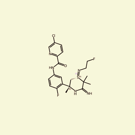 CC1(C)C(=N)N[C@](C)(c2cc(NC(=O)c3ccc(Cl)cn3)ccc2F)C/[S@@]1=N/CCF